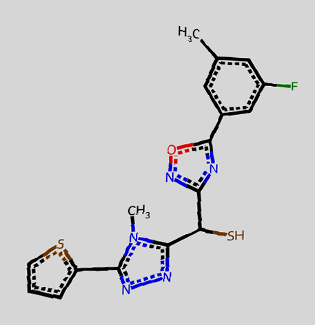 Cc1cc(F)cc(-c2nc(C(S)c3nnc(-c4cccs4)n3C)no2)c1